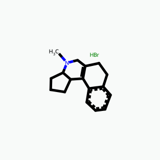 Br.CN1CC2=C(c3ccccc3CC2)C2CCCC21